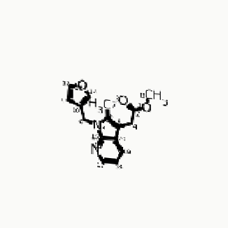 COC(=O)Cc1c(C)n(Cc2ccoc2)c2ncccc12